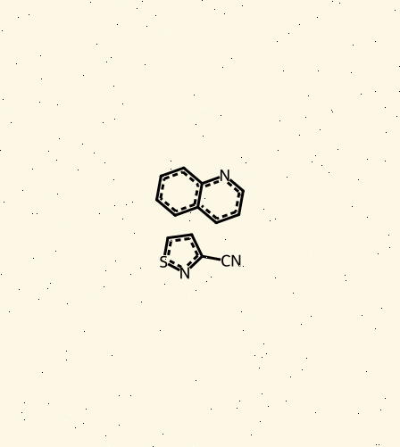 N#Cc1ccsn1.c1ccc2ncccc2c1